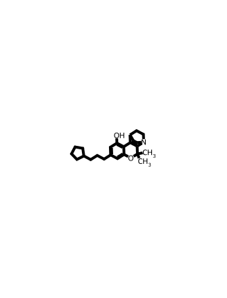 CC1(C)Oc2cc(CCCC3CCCC3)cc(O)c2C2=C1N1CCC2CC1